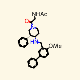 COc1ccc(-c2ccccc2)cc1CN[C@H]1CCN(C(=O)CNC(C)=O)C[C@H]1c1ccccc1